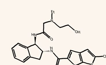 CCN(CCO)CC(=O)N[C@@H]1c2ccccc2C[C@H]1NC(=O)c1cc2cc(Cl)sc2[nH]1